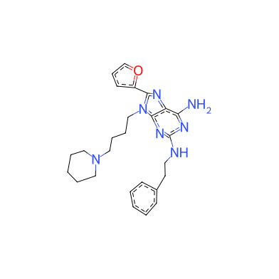 Nc1nc(NCCc2ccccc2)nc2c1nc(-c1ccco1)n2CCCCN1CCCCC1